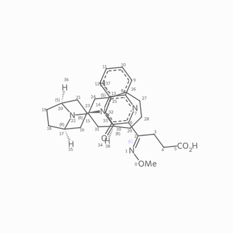 CO/N=C(\CCC(=O)O)c1nc2ccccc2n([C@H]2C[C@H]3CC[C@@H](C2)N3C2C[C@H]3CCCC[C@@H](C2)C3)c1=O